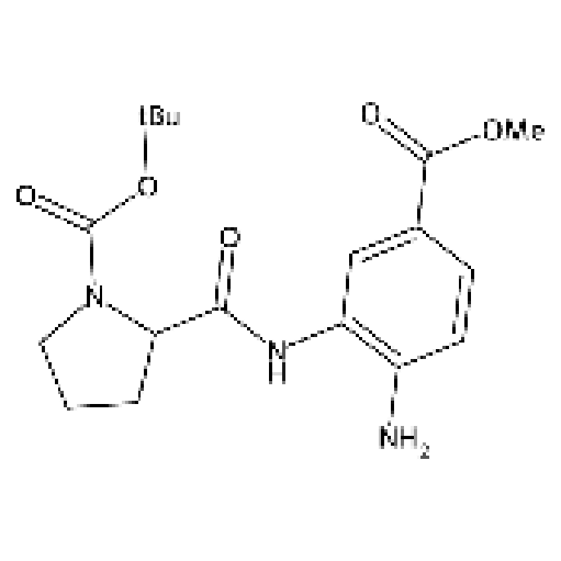 COC(=O)c1ccc(N)c(NC(=O)C2CCCN2C(=O)OC(C)(C)C)c1